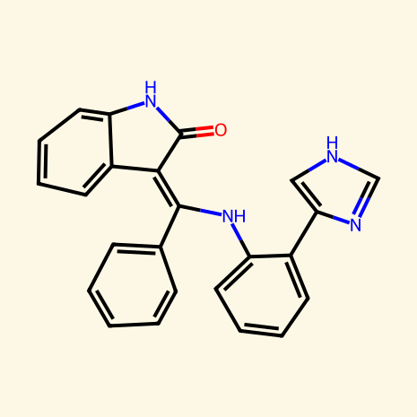 O=C1Nc2ccccc2/C1=C(/Nc1ccccc1-c1c[nH]cn1)c1ccccc1